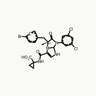 C[C@@]1(Cc2ccc(Br)cc2)C(=O)N(c2cc(Cl)cc(Cl)c2)C2NC=C(C(=O)NC3(C(=O)O)CC3)N21